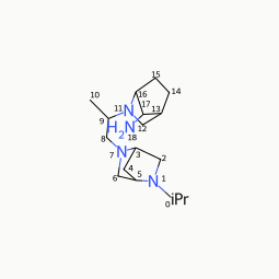 CC(C)N1CC2CC1CN2CC(C)N1CC2CCC1C2N